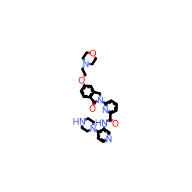 O=C(Nc1cnccc1N1CCNCC1)c1cccc(N2Cc3cc(OCCN4CCOCC4)ccc3C2=O)n1